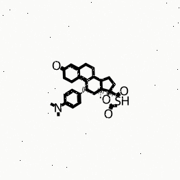 CC(=O)O[C@]1(C(=O)S)CCC2C3CCC4=CC(=O)CCC4=C3[C@@H](c3ccc(N(C)C)cc3)C[C@@]21C